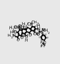 CN(C)c1cc(NC(=O)N(N)c2ccc(OC(F)(F)F)cc2)c(O)c2c1C[C@@]1(C)C[C@H]3[C@H](N(C)C)C(O)=C(C(N)=O)C(=O)[C@@]3(O)C(O)=C1C2=O